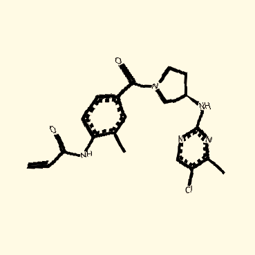 C=CC(=O)Nc1ccc(C(=O)N2CC[C@@H](Nc3ncc(Cl)c(C)n3)C2)cc1C